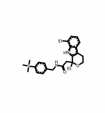 CCc1cccc2c3c([nH]c12)C(CC)(CC(=O)NCc1ccc([Si](C)(C)C)cc1)OCC3